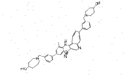 Cc1cc(-c2cccc(CN3CCC(O)CC3)c2)cc(Cl)c1Nc1c(C#N)cnc2cc(-c3cccc(CN4CCC(O)CC4)c3)ccc12